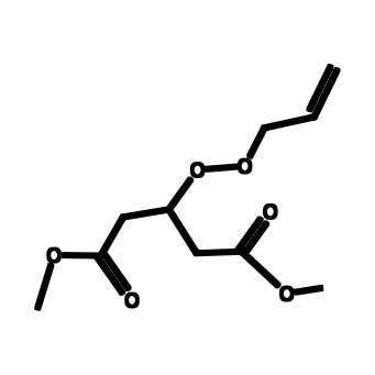 C=CCOOC(CC(=O)OC)CC(=O)OC